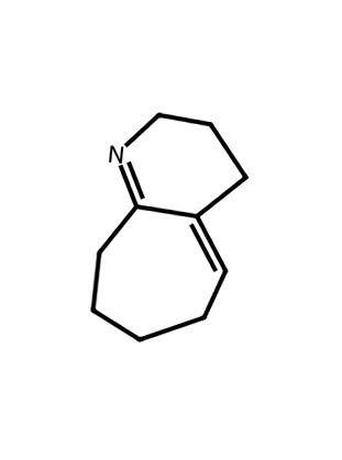 C1=C2CCCN=C2CCCC1